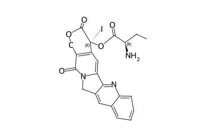 CC[C@@H](N)C(=O)O[C@]1(I)C(=O)OCc2c1cc1n(c2=O)Cc2cc3ccccc3nc2-1